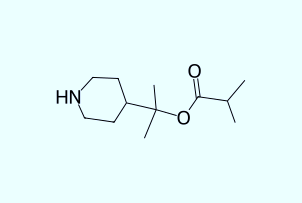 CC(C)C(=O)OC(C)(C)C1CCNCC1